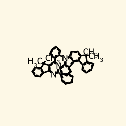 CC1(C)c2ccccc2-c2c1ccc1c2c2ccccc2n1-c1ccccc1-c1nc(-c2ccccc2)nc2c1C(C)(C)c1ccccc1-2